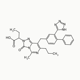 CCCc1nc(C)n2c(=O)n(C(CC)C(=O)O)nc2c1Cc1ccc(-c2ccccc2)c(-c2nnn[nH]2)c1